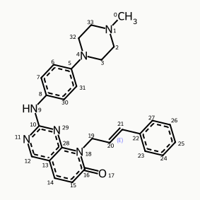 CN1CCN(c2ccc(Nc3ncc4ccc(=O)n(C/C=C/c5ccccc5)c4n3)cc2)CC1